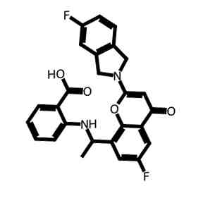 CC(Nc1ccccc1C(=O)O)c1cc(F)cc2c(=O)cc(N3Cc4ccc(F)cc4C3)oc12